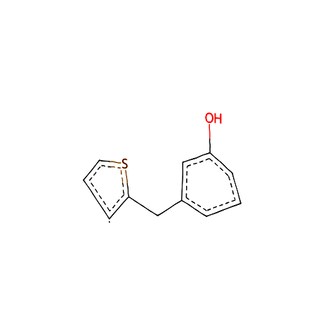 Oc1cccc(Cc2[c]ccs2)c1